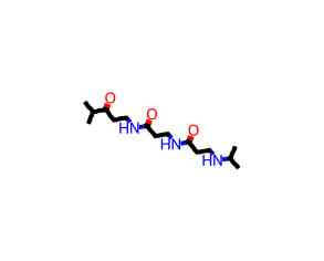 CC(C)NCCC(=O)NCCC(=O)NCCC(=O)C(C)C